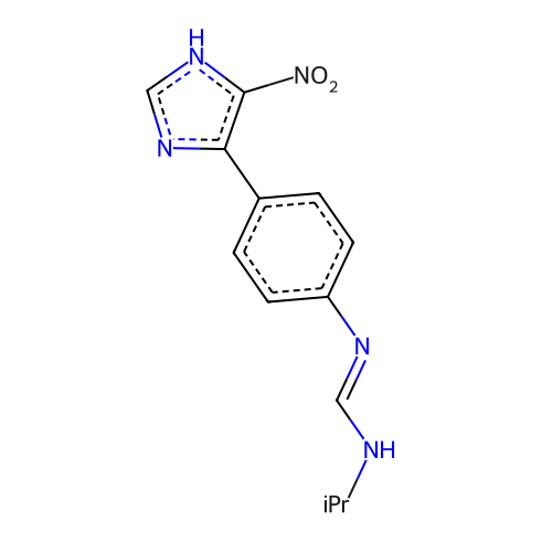 CC(C)NC=Nc1ccc(-c2nc[nH]c2[N+](=O)[O-])cc1